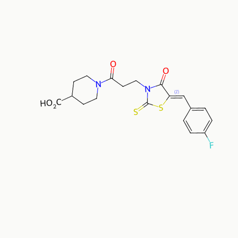 O=C(O)C1CCN(C(=O)CCN2C(=O)/C(=C/c3ccc(F)cc3)SC2=S)CC1